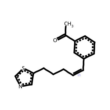 CC(=O)c1cccc(/C=C\CCCc2cncs2)c1